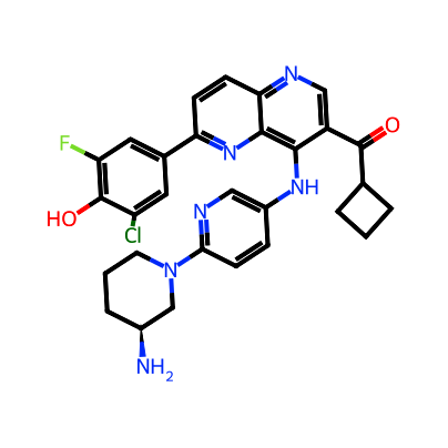 N[C@H]1CCCN(c2ccc(Nc3c(C(=O)C4CCC4)cnc4ccc(-c5cc(F)c(O)c(Cl)c5)nc34)cn2)C1